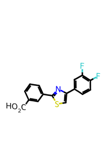 O=C(O)c1cccc(-c2nc(-c3ccc(F)c(F)c3)cs2)c1